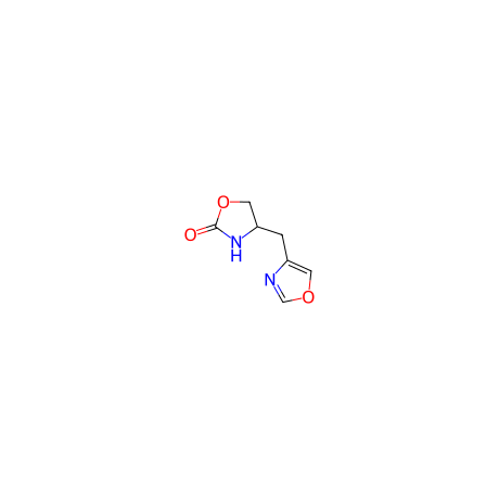 O=C1NC(Cc2cocn2)CO1